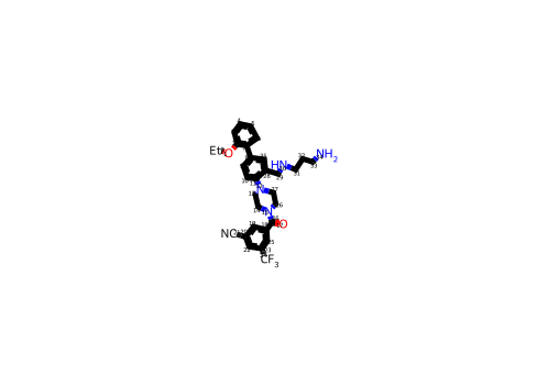 CCOc1ccccc1-c1ccc(N2CCN(C(=O)c3cc(C#N)cc(C(F)(F)F)c3)CC2)c(CNCCCN)c1